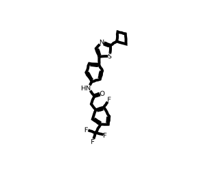 O=C(Cc1cc(C(F)(F)F)ccc1F)Nc1ccc(-c2cnc([C]3CCC3)s2)cc1